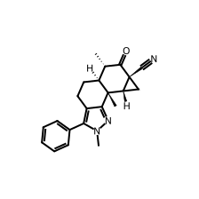 C[C@@H]1C(=O)[C@]2(C#N)C[C@@H]2[C@]2(C)c3nn(C)c(-c4ccccc4)c3CC[C@@H]12